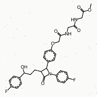 COC(=O)CNC(=O)CNC(=O)COc1ccc(C2C(CCC(O)c3ccc(F)cc3)C(=O)N2c2ccc(F)cc2)cc1